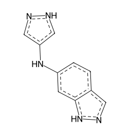 c1cc2cn[nH]c2cc1Nc1cn[nH]c1